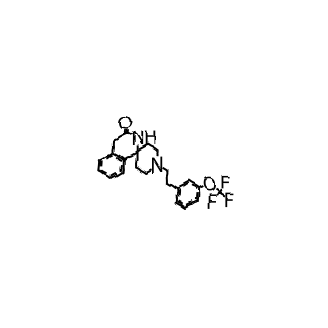 O=C1Cc2ccccc2C2(CCN(CCc3cccc(OC(F)(F)F)c3)CC2)N1